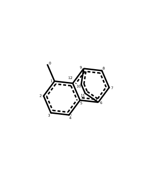 Cc1cc[c]c2c3ccc(cc3)c12